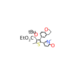 CCOC(=O)C(OC(C)(C)C)c1c(C)sc(-c2ccc(=O)n(C)c2)c1-c1ccc2c(c1)CCCO2